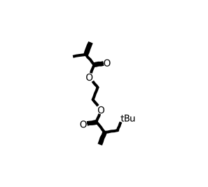 C=C(C)C(=O)OCCOC(=O)C(=C)CC(C)(C)C